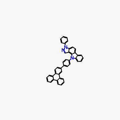 c1ccc(-n2ncc3c2ccc2c4ccccc4n(-c4ccc(-c5ccc6c7ccccc7c7ccccc7c6c5)cc4)c23)cc1